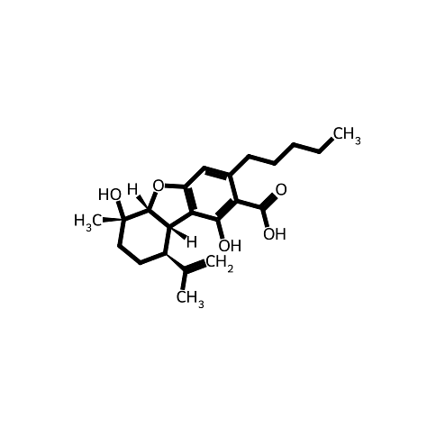 C=C(C)[C@H]1CC[C@](C)(O)[C@@H]2Oc3cc(CCCCC)c(C(=O)O)c(O)c3[C@H]12